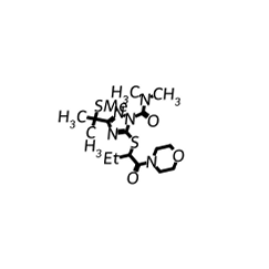 CCC(Sc1nc(C(C)(C)SC)nn1C(=O)N(C)C)C(=O)N1CCOCC1